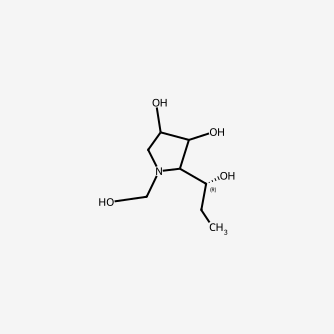 CC[C@@H](O)C1C(O)C(O)CN1CO